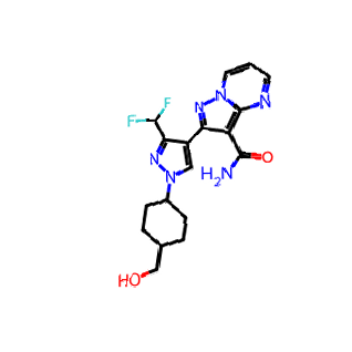 NC(=O)c1c(-c2cn(C3CCC(CO)CC3)nc2C(F)F)nn2cccnc12